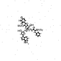 COC1C(OP(=O)(OC[C@H]2O[C@@H](n3cnc4c(N)ncnc43)CC2O)SCOC(=O)C(Cc2ccccc2)NC(C)=O)[C@@H](CO)O[C@H]1n1ccc(=O)[nH]c1=O